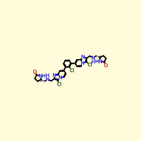 O=C1CC[C@@H](CNCc2nc3cc(-c4cccc(-c5ccn6c(Cl)c(CNC[C@@H]7CCC(=O)N7)nc6c5)c4Cl)ccn3c2Cl)N1